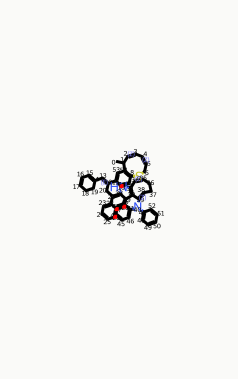 CC1/C=C\C=C/CSc2ccc(/C(=C/C3=CC=CCC3)Cc3c4ccccc4cc4c5c([nH]c34)/C=C\CC/C=C/5N(c3c#cccc3)c3ccccc3)cc21